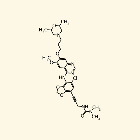 COc1cc2c(Nc3c(Cl)cc(C#CCNC(=O)N(C)C)c4c3OCO4)ncnc2cc1OCCCN1CC(C)OC(C)C1